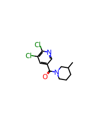 CC1CCCN(C(=O)c2cnc(Cl)c(Cl)c2)C1